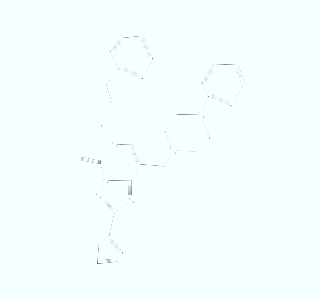 O=c1n(CCCc2ccccc2)cc(CN2CCN(c3ccccc3)CC2)c2nc(-c3ccco3)nn12